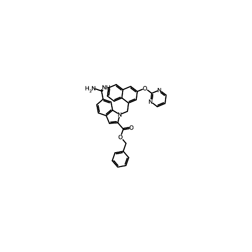 N=C(N)c1ccc2cc(C(=O)OCc3ccccc3)n(Cc3cc(Oc4ncccn4)cc4ccccc34)c2c1